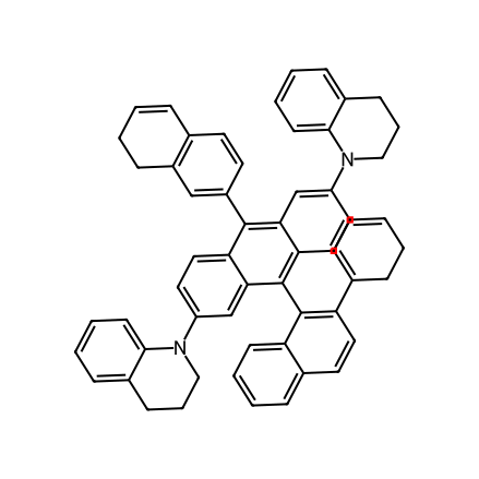 C1=CCCC(c2ccc3ccccc3c2-c2c3ccc(N4CCCc5ccccc54)cc3c(-c3ccc4c(c3)CCC=C4)c3ccc(N4CCCc5ccccc54)cc23)=C1